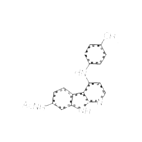 CC(=O)Nc1ccc2c(c1)[nH]c1nccc(Nc3ccc(C)cc3)c12